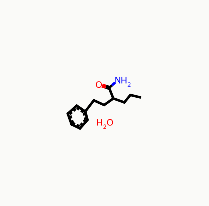 CCCC(CCc1ccccc1)C(N)=O.O